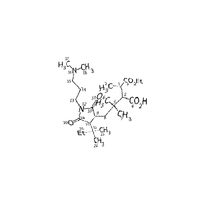 CCOC(=O)C(C)C(C(=O)O)C(C)(C)CC1C(=O)N(CCCN(C)C)C(=O)C1C(C)(C)CC